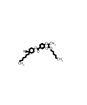 CCCCCCCC1(C#N)CCC(OC(=O)c2ccc(OC(C)C(=O)OCCCCCC)cc2)CC1